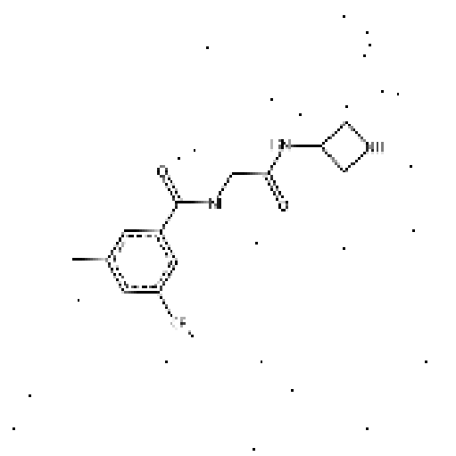 Cc1cc(C(=O)NCC(=O)NC2CNC2)cc(C(F)(F)F)c1